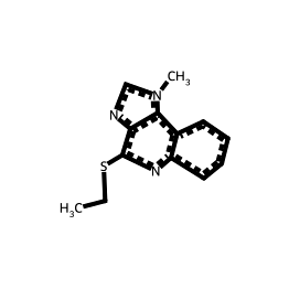 CCSc1nc2ccccc2c2c1ncn2C